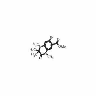 COC(=O)c1cc2c(cc1Br)N(C)C(C)(C)C(=O)N2C